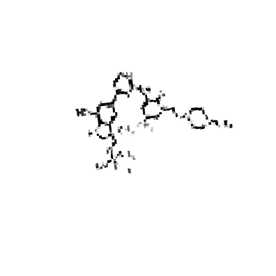 Cc1cc(Nc2nccc(-c3cc(C#N)c4c(c3)[C@@](C)(CO[Si](C)(C)C(C)(C)C)CN4)n2)c(=O)n(CCN2CCN(C)CC2)c1